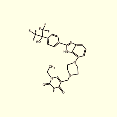 CCn1cc(CN2CCN(c3cccc4nc(-c5ccc(C(O)(C(F)(F)F)C(F)(F)F)cc5)[nH]c34)CC2)c(=O)[nH]c1=O